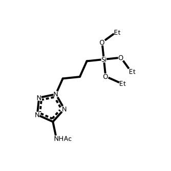 CCO[Si](CCCn1nnc(NC(C)=O)n1)(OCC)OCC